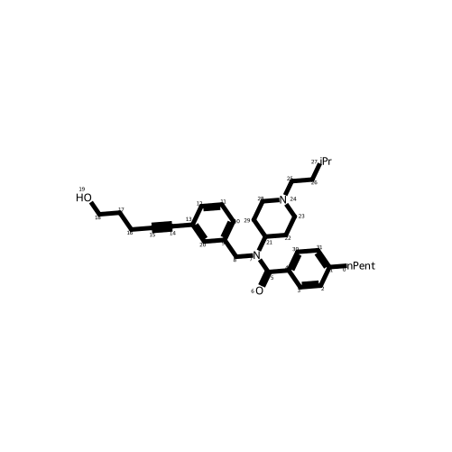 CCCCCc1ccc(C(=O)N(Cc2cccc(C#CCCCO)c2)C2CCN(CCC(C)C)CC2)cc1